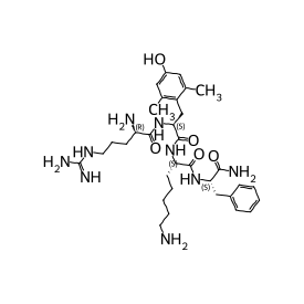 Cc1cc(O)cc(C)c1C[C@H](NC(=O)[C@H](N)CCCNC(=N)N)C(=O)N[C@@H](CCCCCN)C(=O)N[C@@H](Cc1ccccc1)C(N)=O